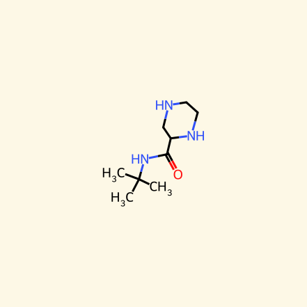 CC(C)(C)NC(=O)C1CNCCN1